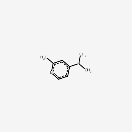 Cc1cc(N(C)C)[c]cn1